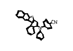 N#Cc1ccc(N(c2ccccc2)c2cc3sc4cc5ccccc5cc4c3c3ccccc23)cc1